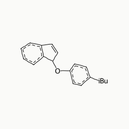 CCC(C)c1ccc(OC2C=Cc3ccccc32)cc1